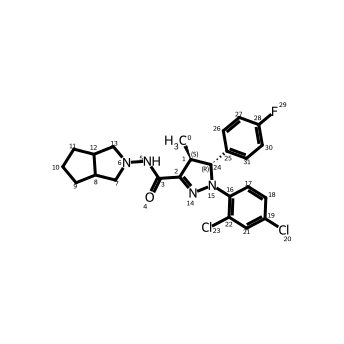 C[C@@H]1C(C(=O)NN2CC3CCCC3C2)=NN(c2ccc(Cl)cc2Cl)[C@H]1c1ccc(F)cc1